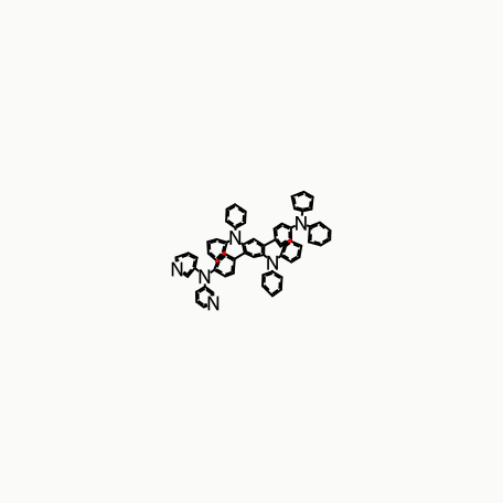 c1ccc(N(c2ccccc2)c2ccc(-c3cc(N(c4ccccc4)c4ccccc4)c(-c4ccc(N(c5cccnc5)c5cccnc5)cc4)cc3N(c3ccccc3)c3ccccc3)cc2)cc1